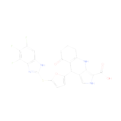 O=C1CCCC2=C1C(c1ccc(Sc3nc4c(F)c(F)c(F)cc4[nH]3)o1)c1c[nH]c(C(=O)O)c1N2